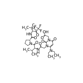 CCN(CC)c1cc(=O)n(CC(=O)O)c(=O)n1CC(=O)N[C@H](C(=O)N1CCC[C@H]1C(=O)N[C@H](C(=O)C(F)(F)F)C(C)C)C(C)C